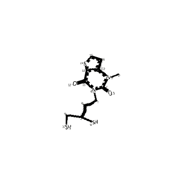 Cn1c(=O)n(CCC(S)CS)c(=O)c2sccc21